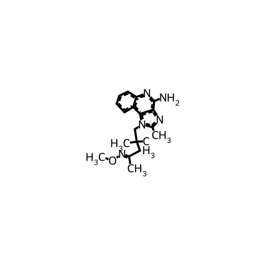 CON=C(C)CC(C)(C)Cn1c(C)nc2c(N)nc3ccccc3c21